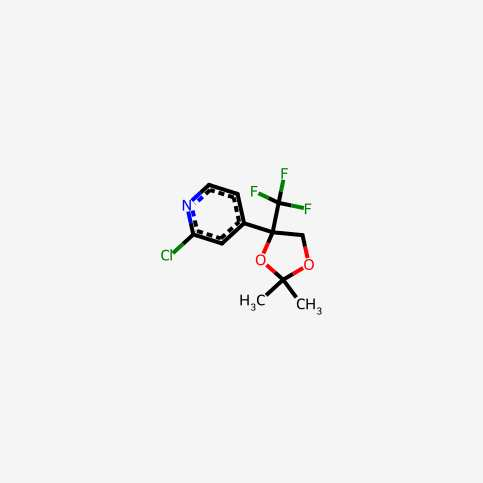 CC1(C)OCC(c2ccnc(Cl)c2)(C(F)(F)F)O1